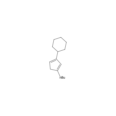 CCCCC1=CC(C2CCCCC2)=CC1